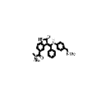 CCCCN(C)C(=O)c1ccc2c(c1)/C(=C(/Nc1ccc(CNC)cc1)c1ccccc1)C(=O)N2